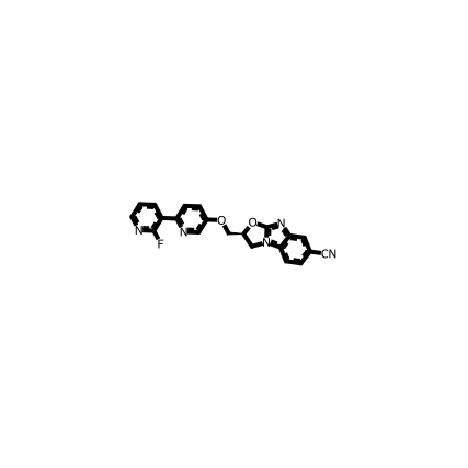 N#Cc1ccc2c(c1)nc1n2C[C@@H](COc2ccc(-c3cccnc3F)nc2)O1